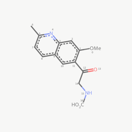 COc1cc2nc(C)ccc2cc1C(=O)CNC(=O)O